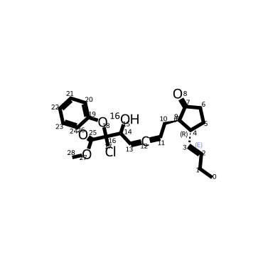 CC/C=C/[C@H]1CCC(=O)[C@@H]1CC=C=CC([16OH])C(Cl)(Oc1ccccc1)C(=O)OC